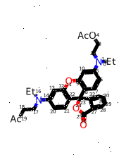 CCN(CCOC(C)=O)c1ccc2c(c1)Oc1cc(N(CC)CCC(C)=O)ccc1C21OC(=O)c2ccccc21